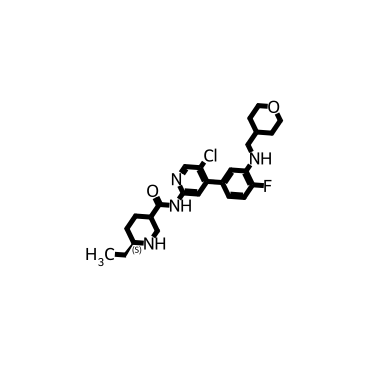 CC[C@H]1CCC(C(=O)Nc2cc(-c3ccc(F)c(NCC4CCOCC4)c3)c(Cl)cn2)CN1